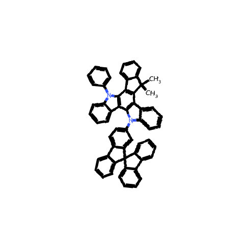 CC1(C)c2ccccc2-c2c1c1c3ccccc3n(-c3ccc4c(c3)C3(c5ccccc5-c5ccccc53)c3ccccc3-4)c1c1c3ccccc3n(-c3ccccc3)c21